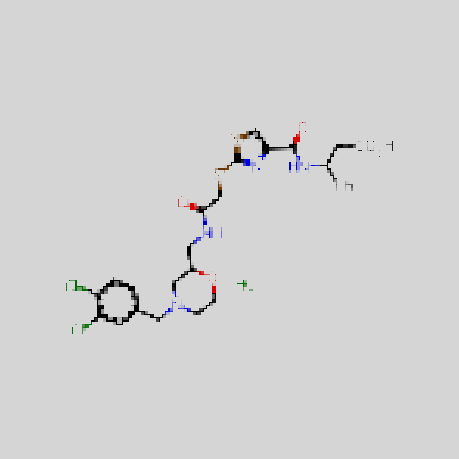 CCCC(CC(=O)O)NC(=O)c1csc(SCC(=O)NCC2CN(Cc3ccc(Cl)c(Cl)c3)CCO2)n1.Cl